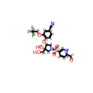 N#Cc1ccc(O[C@H]2CN(S(=O)(=O)c3ccc(C=O)nc3)C[C@@]2(O)CO)c(OCC(F)(F)F)c1